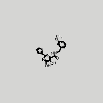 O=C(NCc1cccc(OC(F)(F)F)c1)c1nc(-c2cccs2)nc(O)c1O